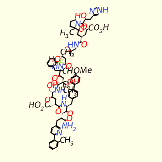 CCc1cc(OC)ccc1-c1ccc(C[C@H](NC(=O)[C@H](CC(=O)O)CC(=O)[C@H](CO)NC(=O)[C@@H](CC(=O)C(C)(Cc2ccccc2F)NC(=O)[C@@H](CC(=O)CNC(=O)[C@H](CCC(=O)O)CC(=O)C2(C)CCCN2C(=O)[C@@H](O)Cc2c[nH]cn2)[C@@H](C)O)[C@@H](C)O)C(=O)C[C@@H](Cc2ccc(-c3ccccc3C)nc2)C(N)=O)cc1